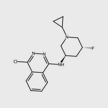 F[C@@H]1C[C@@H](Nc2nnc(Cl)c3ccccc23)CN(C2CC2)C1